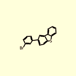 Brc1cccc(-c2ccc3sc4ccccc4c3c2)c1